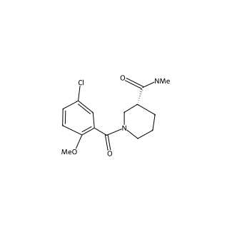 CNC(=O)[C@@H]1CCCN(C(=O)c2cc(Cl)ccc2OC)C1